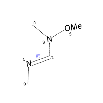 C/N=C/N(C)OC